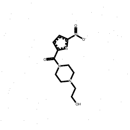 O=C(c1ccc([N+](=O)[O-])s1)N1CCN(CCO)CC1